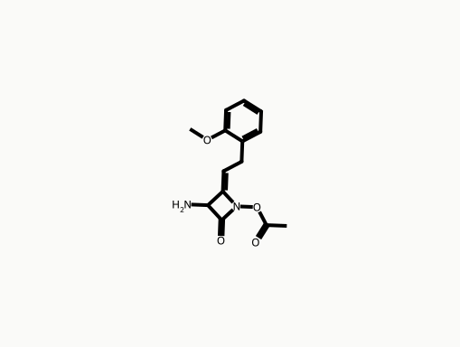 COc1ccccc1CC=C1C(N)C(=O)N1OC(C)=O